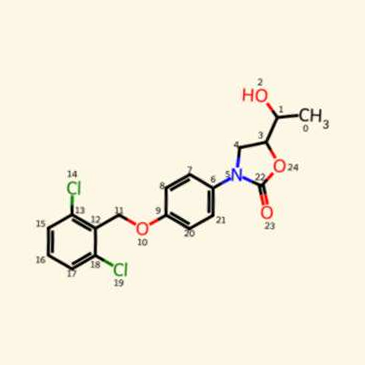 CC(O)C1CN(c2ccc(OCc3c(Cl)cccc3Cl)cc2)C(=O)O1